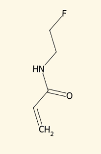 C=CC(=O)NCCF